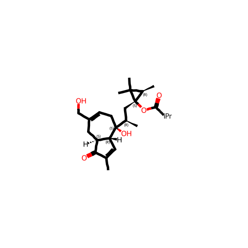 CC1=C[C@@H]2[C@H](CC(CO)=CC[C@]2(O)[C@H](C)C[C@]2(OC(=O)C(C)C)[C@H](C)C2(C)C)C1=O